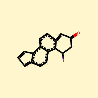 O=C1C=c2ccc3c4c(ccc3c2C(I)C1)=CC=C4